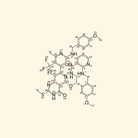 COc1ccc(CNc2ncccc2[C@@H](C)NCCOc2nc(-c3c(Cl)c(NCc4ccc(OC)cc4)nc(C)c3C(F)(F)F)c(F)c3nc(SC)[nH]c(=O)c23)cc1